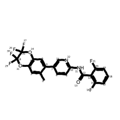 Cc1cc2c(cc1-c1ccc(NC(=O)c3c(F)cccc3F)nc1)OC(F)(F)C(F)(F)O2